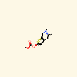 COC(=O)Oc1cc2c(s1)CN(C)C(C)C2